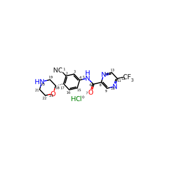 Cl.N#Cc1cc(NC(=O)c2cnc(C(F)(F)F)cn2)ccc1[C@H]1CNCCO1